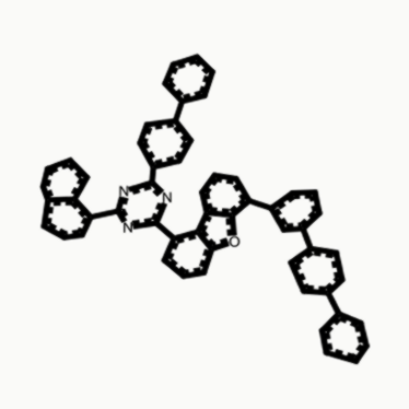 c1ccc(-c2ccc(-c3cccc(-c4cccc5c4oc4cccc(-c6nc(-c7ccc(-c8ccccc8)cc7)nc(-c7cccc8ccccc78)n6)c45)c3)cc2)cc1